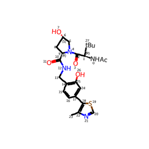 CC(=O)N[C@@H](C(=O)N1C[C@@H](O)C[C@@H]1C(=O)NCc1ccc(-c2scnc2C)cc1O)C(C)(C)C